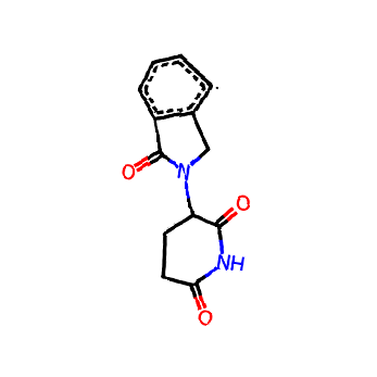 O=C1CCC(N2Cc3[c]cccc3C2=O)C(=O)N1